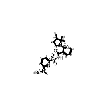 CCCCN(C)c1cccc(S(=O)(=O)NC(=O)c2cccnc2N2CCC(C)C2(C)C)n1